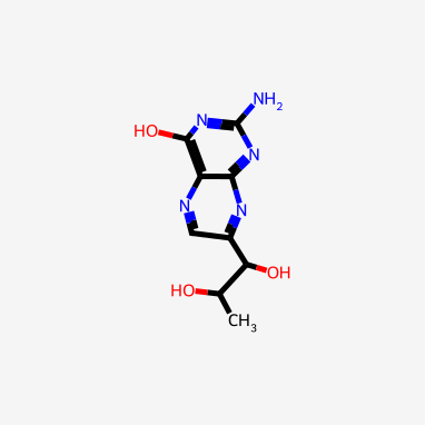 CC(O)C(O)c1cnc2c(O)nc(N)nc2n1